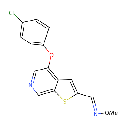 CON=Cc1cc2c(Oc3ccc(Cl)cc3)cncc2s1